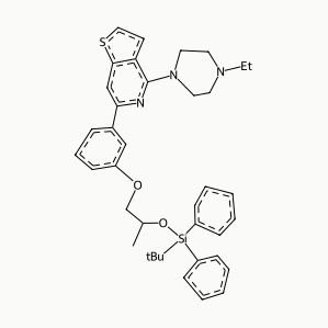 CCN1CCN(c2nc(-c3cccc(OCC(C)O[Si](c4ccccc4)(c4ccccc4)C(C)(C)C)c3)cc3sccc23)CC1